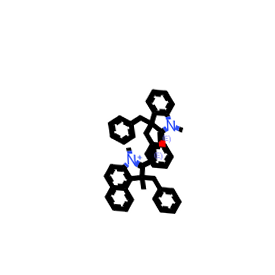 CN1/C(=C/C=C/C2=[N+](C)c3ccc4ccccc4c3C2(C)Cc2ccccc2)C(Cc2ccccc2)(Cc2ccccc2)c2ccccc21